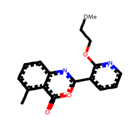 COCCOc1ncccc1-c1nc2cccc(C)c2c(=O)o1